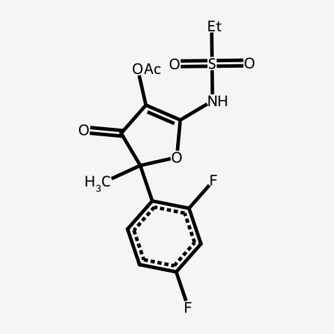 CCS(=O)(=O)NC1=C(OC(C)=O)C(=O)C(C)(c2ccc(F)cc2F)O1